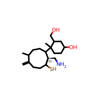 C=C1CCC(S)[C@H](CN)C(C2(C)CCC(O)CC2CO)CCC1C